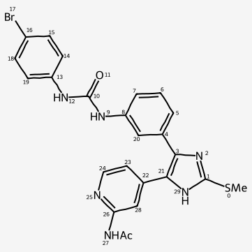 CSc1nc(-c2cccc(NC(=O)Nc3ccc(Br)cc3)c2)c(-c2ccnc(NC(C)=O)c2)[nH]1